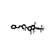 Fc1cc2cc(-c3ccc(/C=C/c4ccccc4)cn3)cc(F)c2c(F)c1C#CC(F)(F)F